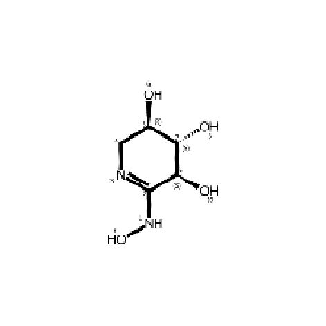 ONC1=NC[C@@H](O)[C@H](O)[C@H]1O